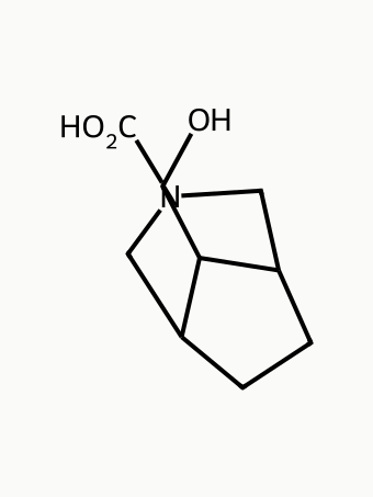 O=C(O)N1CC2CCC(C1)C2CO